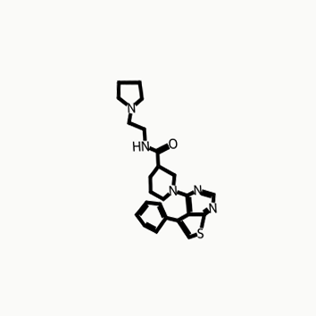 O=C(NCCN1CCCC1)C1CCCN(c2ncnc3scc(-c4ccccc4)c23)C1